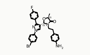 C[C@@H]1O[C@@H](c2cn(-c3ccc(Br)cc3)nc2-c2ccc(F)cc2)N(CCc2ccc(N)cc2)C1=O